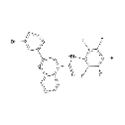 O=C(Nc1c(F)c(F)c(F)c(F)c1F)c1cc(-c2cccc(Br)c2)nc2ccccc12